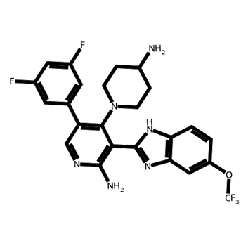 Nc1ncc(-c2cc(F)cc(F)c2)c(N2CCC(N)CC2)c1-c1nc2cc(OC(F)(F)F)ccc2[nH]1